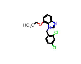 O=C(O)COc1cccc2ncn(Cc3ccc(Cl)cc3Cl)c12